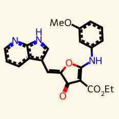 CCOC(=O)C1=C(Nc2cccc(OC)c2)OC(=Cc2c[nH]c3ncccc23)C1=O